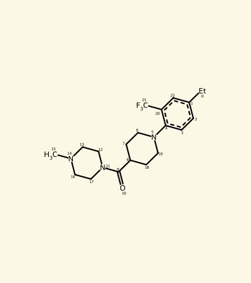 CCc1ccc(N2CCC(C(=O)N3CCN(C)CC3)CC2)c(C(F)(F)F)c1